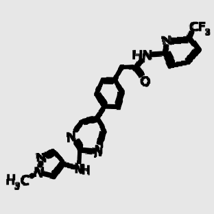 Cn1cc(Nc2ncc(-c3ccc(CC(=O)Nc4cccc(C(F)(F)F)n4)cc3)cn2)cn1